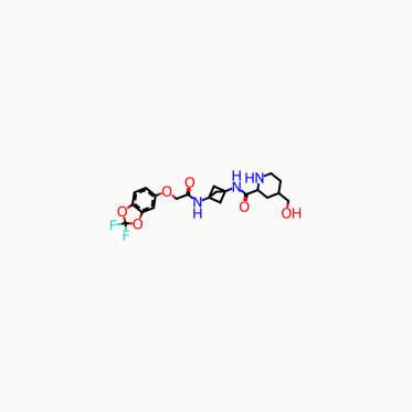 O=C(COc1ccc2c(c1)OC(F)(F)O2)NC12CC(NC(=O)C3CC(CO)CCN3)(C1)C2